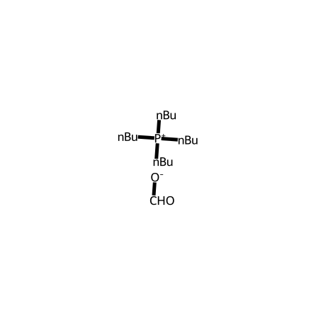 CCCC[P+](CCCC)(CCCC)CCCC.O=C[O-]